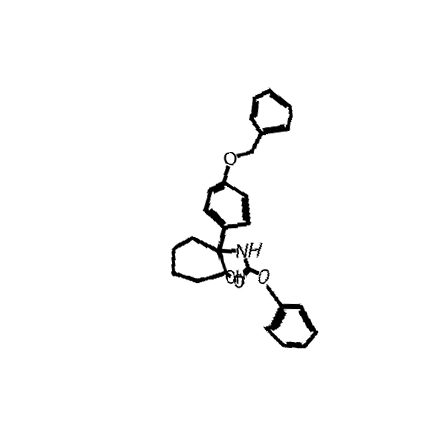 O=C(NC1(c2ccc(OCc3ccccc3)cc2)CCCCC1O)Oc1ccccc1